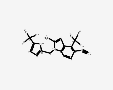 [C-]#[N+]c1ccc2c(cc(C)n2Cc2ccc(C(F)(F)F)o2)c1C(F)(F)F